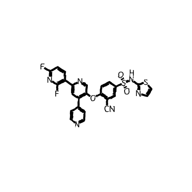 N#Cc1cc(S(=O)(=O)Nc2nccs2)ccc1Oc1cnc(-c2ccc(F)nc2F)cc1-c1ccncc1